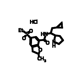 CCS(=O)(=O)c1cc2c(c(C(=O)NC(CC3CC3)C3CCCN3)c1)OC(C)C2.Cl